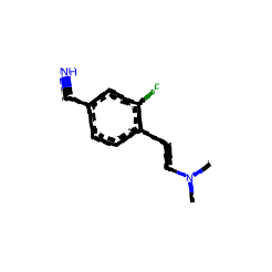 CN(C)/C=C/c1ccc(C=N)cc1F